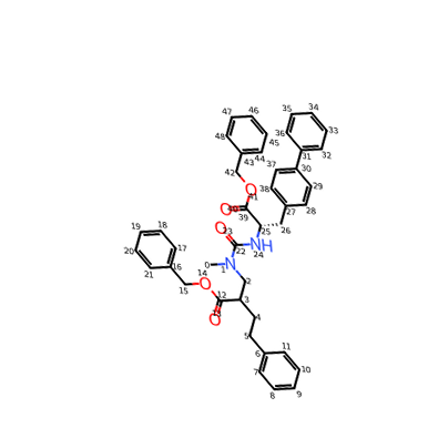 CN(CC(CCc1ccccc1)C(=O)OCc1ccccc1)C(=O)N[C@@H](Cc1ccc(-c2ccccc2)cc1)C(=O)OCc1ccccc1